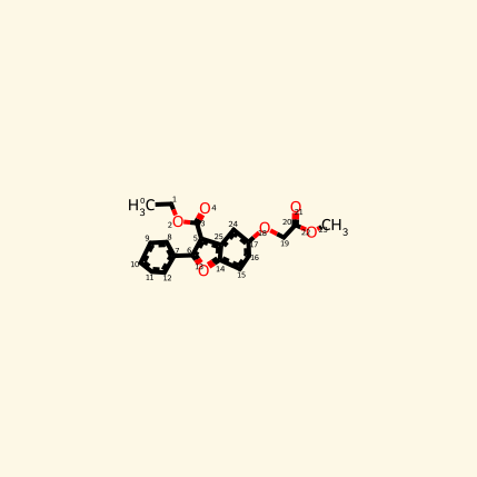 CCOC(=O)c1c(-c2ccccc2)oc2ccc(OCC(=O)OC)cc12